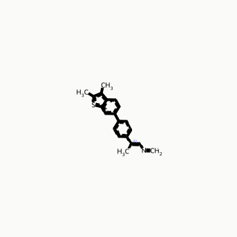 C=N/C=C(\C)c1ccc(-c2ccc3c(C)c(C)sc3c2)cc1